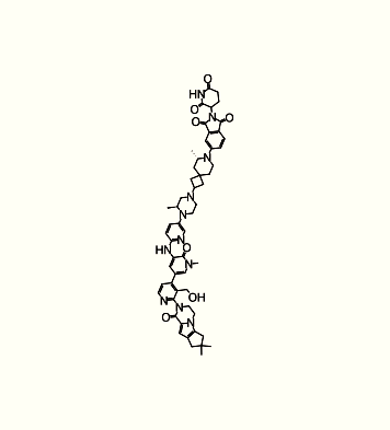 C[C@H]1CN(C2CC3(CCN(c4ccc5c(c4)C(=O)N(C4CCC(=O)NC4=O)C5=O)[C@@H](C)C3)C2)CCN1c1ccc(Nc2cc(-c3ccnc(N4CCn5c(cc6c5CC(C)(C)C6)C4=O)c3CO)cn(C)c2=O)nc1